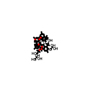 Cc1cc(C(C)(C)C)c(C2OC(c3c(C(C)(C)C)cc(C)cc3C(C)(C)C)(C(C)(C)CO)OC(c3c(C(C)(C)C)cc(C)cc3C(C)(C)C)(c3c(C(C)(C)C)cc(C)cc3C(C)(C)C)C23COC(C(C)(C)CO)OC3)c(C(C)(C)C)c1.OP(O)O.OP(O)O